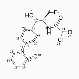 O=C(N[C@H](CF)[C@@H](O)c1ccc(-n2ccccc2=O)cc1)C(Cl)Cl